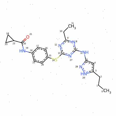 CCCc1cc(Nc2nc(CC)nc(Sc3ccc(NC(=O)C4CC4)cc3)n2)n[nH]1